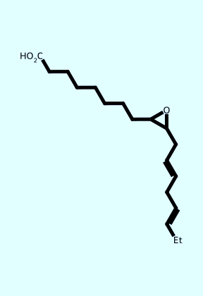 CCC=CCC=CCC1OC1CCCCCCCC(=O)O